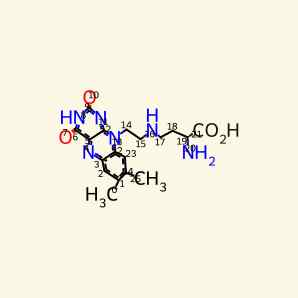 Cc1cc2nc3c(=O)[nH]c(=O)nc-3n(CCNCC[C@H](N)C(=O)O)c2cc1C